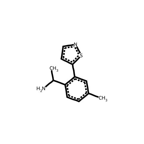 Cc1ccc(C(C)N)c(-c2ccns2)c1